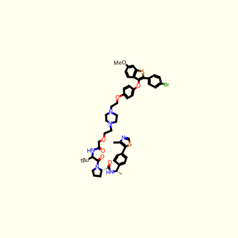 COc1ccc2c(Oc3ccc(OCCN4CCN(CCOCC(=O)NC(C(=O)N5CCC[C@H]5C(=O)N[C@@H](C)c5ccc(-c6scnc6C)cc5)C(C)(C)C)CC4)cc3)c(-c3ccc(Br)cc3)sc2c1